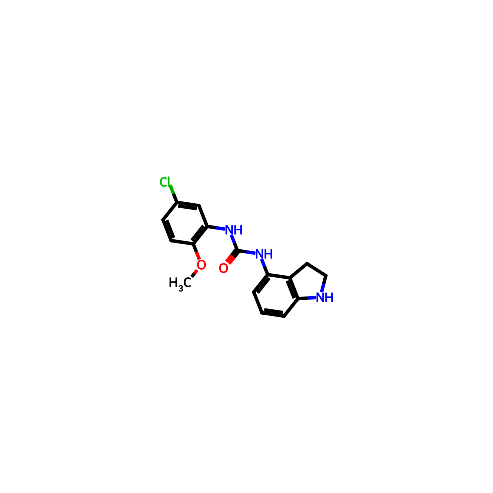 COc1ccc(Cl)cc1NC(=O)Nc1cccc2c1CCN2